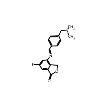 CN(C)Cc1ccc(C=Nc2cc(F)cc3c2COC3=O)cc1